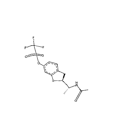 CC(=O)N[C@H](C)[C@@H]1Cc2ccc(OS(=O)(=O)C(F)(F)F)cc2O1